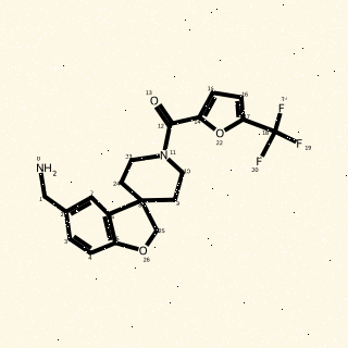 NCc1ccc2c(c1)C1(CCN(C(=O)c3ccc(C(F)(F)F)o3)CC1)CO2